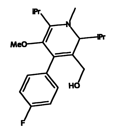 COC1=C(C(C)C)N(C)C(C(C)C)C(CO)=C1c1ccc(F)cc1